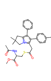 COC(=O)C(CSC(=O)Cc1c(-c2ccc(C)cc2)c(-c2ccccc2)c2n1CC(C)(C)C2)NC(C)=O